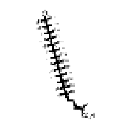 CC(=CCCC(F)(F)C(F)(F)C(F)(F)C(F)(F)C(F)(F)C(F)(F)C(F)(F)C(F)(F)C(F)(F)C(F)(F)C(F)(F)C(F)(F)C(F)(F)C(F)(F)F)C(=O)O